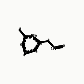 C=NCc1cccc(C)n1